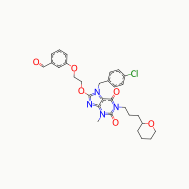 Cn1c(=O)n(CCCC2CCCCO2)c(=O)c2c1nc(OCCOc1cccc(C=O)c1)n2Cc1ccc(Cl)cc1